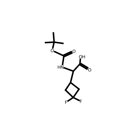 CC(C)(C)OC(=O)NC(C(=O)O)C1CC(F)(F)C1